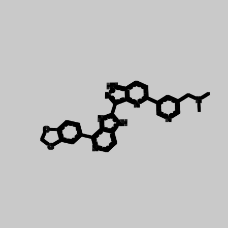 CN(C)Cc1cncc(-c2ccc3[nH]nc(-c4nc5c(-c6ccc7c(c6)OCO7)nccc5[nH]4)c3n2)c1